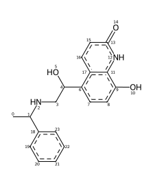 CC(NCC(O)c1ccc(O)c2[nH]c(=O)ccc12)c1ccccc1